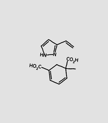 C=Cc1cc[nH]n1.CC1(C(=O)O)C=CC=C(C(=O)O)C1